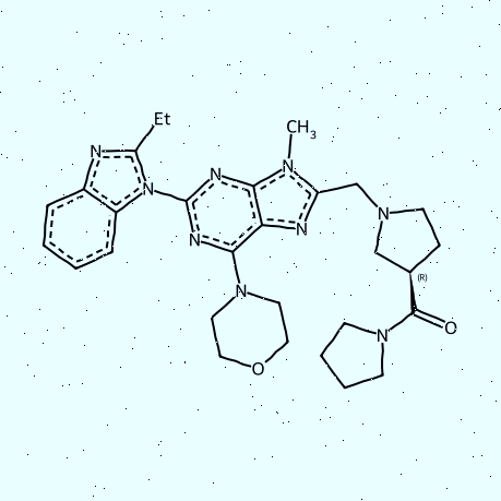 CCc1nc2ccccc2n1-c1nc(N2CCOCC2)c2nc(CN3CC[C@@H](C(=O)N4CCCC4)C3)n(C)c2n1